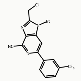 CCn1c(CCl)nc2c(C#N)nc(-c3cccc(C(F)(F)F)c3)cc21